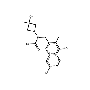 Cc1c(CN(C(=O)O)C2CC(C)(O)C2)nc2cc(Br)ccn2c1=O